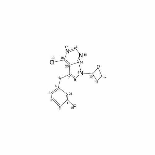 Fc1cccc(Cc2cn(C3CCC3)c3ncnc(Cl)c23)c1